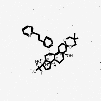 CC1(C)COC2(CCC3=C4[C@@H](CC[C@@]3(O)C2)[C@@H]2CC[C@@](O)(C(F)(F)C(F)(F)F)[C@@]2(C)C[C@@H]4c2cccc(C=Cc3ccccn3)c2)OC1